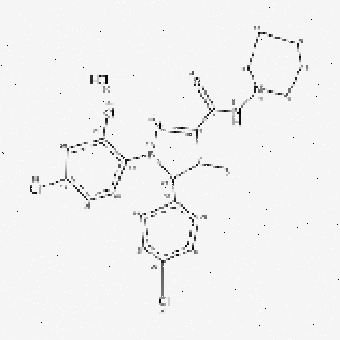 CC1C(C(=O)NN2CCCCC2)=NN(c2ccc(Cl)cc2Cl)C1c1ccc(Cl)cc1.Cl